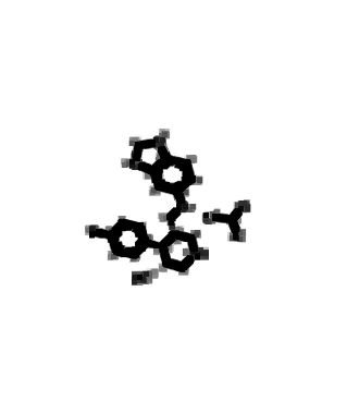 Cl.ClC(Cl)Cl.Fc1ccc([C@@H]2CCNC[C@H]2COc2ccc3c(c2)OCO3)cc1